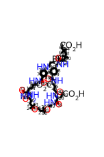 BCCCNc1ccc(C(=O)NCCCCC(NC(=O)CCC(C)(C)OCCC(C)(C)OCCNC(=O)[C@H](CCC(=O)O)NC(=O)CC[C@H](NC(=O)[C@H]2CC[C@@H](CNC(=O)CC(C)(C)CC(C)(C)CC(=O)O)CC2)C(=O)O)C(N)=O)cc1